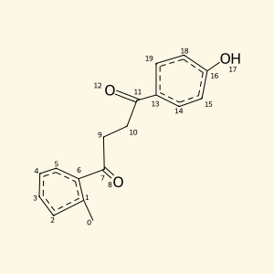 Cc1ccccc1C(=O)CCC(=O)c1ccc(O)cc1